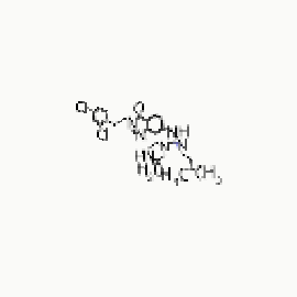 CC(C)CC/N=C(/Nc1ccc2c(=O)n(CCc3ccc(Cl)cc3Cl)cnc2c1)N1CCN[C@@H](C)C1